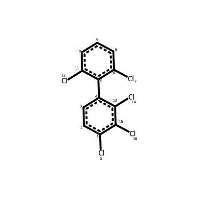 Clc1ccc(-c2c(Cl)cccc2Cl)c(Cl)c1Cl